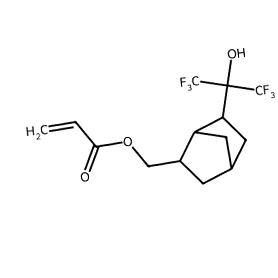 C=CC(=O)OCC1CC2CC1C(C(O)(C(F)(F)F)C(F)(F)F)C2